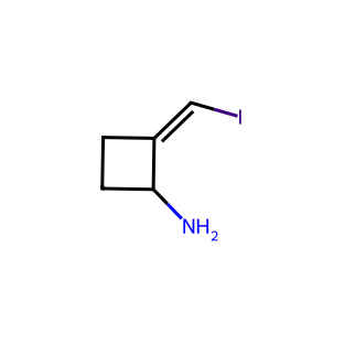 NC1CCC1=CI